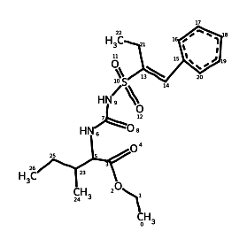 CCOC(=O)C(NC(=O)NS(=O)(=O)/C(=C/c1ccccc1)CC)C(C)CC